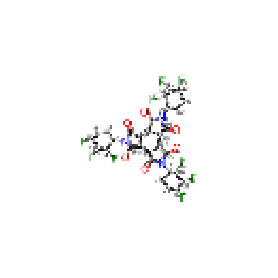 O=c1c2c3c(=O)n(-c4ccc(F)c(F)c4F)c(=O)c3c3c(=O)n(-c4ccc(F)c(F)c4F)c(=O)c3c2c(=O)n1-c1ccc(F)c(F)c1F